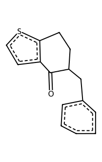 O=C1c2ccsc2CCC1Cc1ccccc1